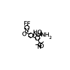 Cc1noc(C)c1-c1cc([C@H](N)O)c2[nH]c3cc(C(=O)N4CCC(F)(F)CC4)ccc3c2c1